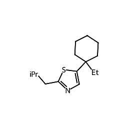 CCC1(c2cnc(CC(C)C)s2)CCCCC1